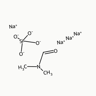 CN(C)C=O.[Na+].[Na+].[Na+].[Na+].[O-][Si]([O-])([O-])[O-]